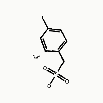 O=S(=O)([O-])Cc1ccc(I)cc1.[Na+]